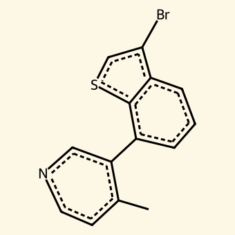 Cc1ccncc1-c1cccc2c(Br)csc12